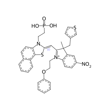 CC1(Cc2ccsc2)C(/C=C2\Sc3c(ccc4ccccc34)N2CCP(=O)(O)O)=[N+](CCOc2ccccc2)c2ccc([N+](=O)[O-])cc21